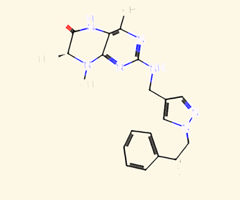 Cc1nc(NCc2cnn(C[C@H](C)c3ccccc3)c2)nc2c1NC(=O)[C@H](C)N2C